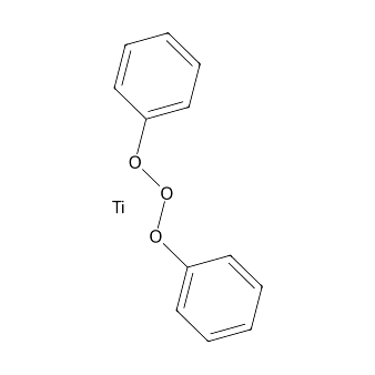 [Ti].c1ccc(OOOc2ccccc2)cc1